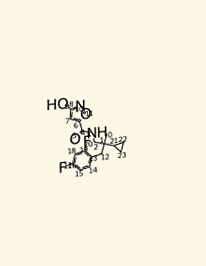 CC(CNC(=O)c1cc(O)no1)(Cc1ccc(F)cc1F)C1CC1